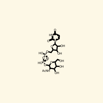 CC(=O)NC1C(OP(=O)(O)OP(=O)(O)OCC2OC(n3ccc(=O)[nH]c3=O)C(O)C2O)OC(CO)C(O)C1O